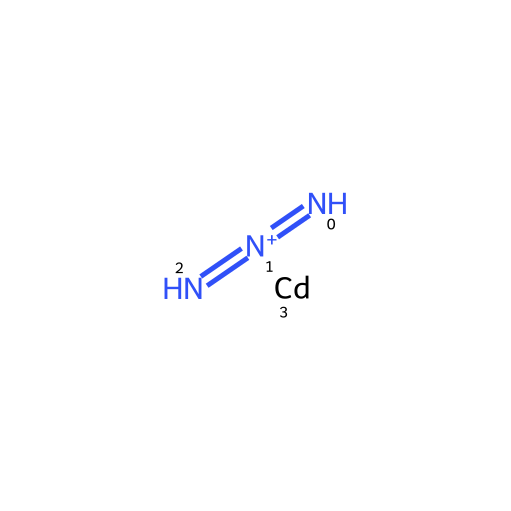 N=[N+]=N.[Cd]